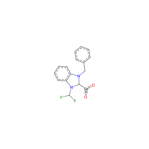 O=[SeH](=O)C1N(Cc2ccccc2)c2ccccc2N1C(F)F